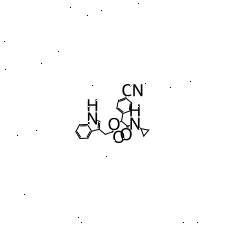 N#Cc1ccc(C(OC(=O)Cc2c[nH]c3ccccc23)C(=O)NC2CC2)cc1